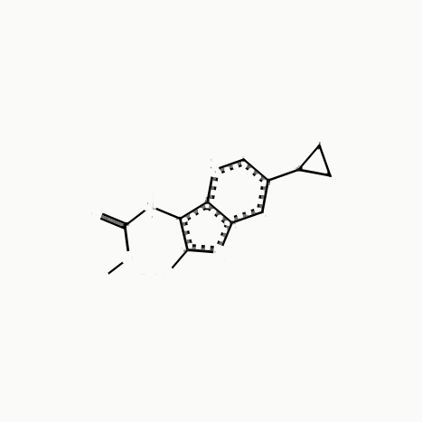 CC(C)(C)OC(=O)Nc1c(C(=O)O)oc2cc(C3CC3)cnc12